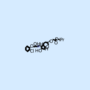 CC(C)OC(=O)COC[C@H]1CC[C@@H]2[C@@H](/C=C/[C@@H](O)COc3ccccc3Cl)[C@H](O)C[C@@H]2OC1